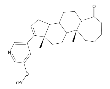 CCCOc1cncc(C2=CCC3C4CCN5C(=O)CCCC[C@]5(C)C4CC[C@]23C)c1